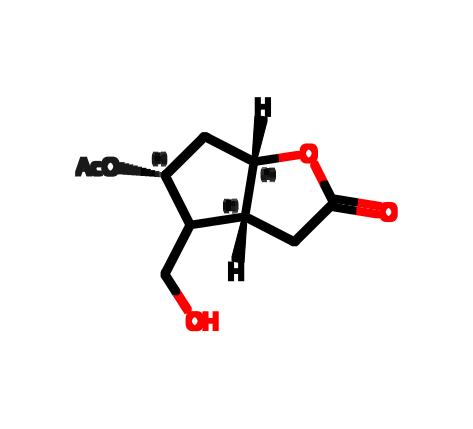 CC(=O)O[C@@H]1C[C@@H]2OC(=O)C[C@@H]2C1CO